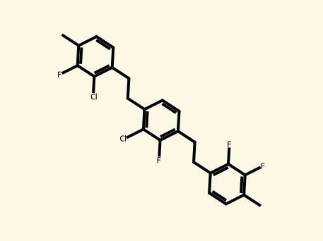 Cc1ccc(CCc2ccc(CCc3ccc(C)c(F)c3Cl)c(Cl)c2F)c(F)c1F